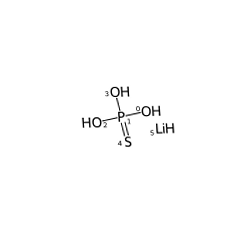 OP(O)(O)=S.[LiH]